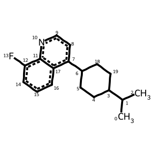 CC(C)C1CCC(c2ccnc3c(F)cccc23)CC1